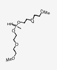 COCCOCCOP(C)(=N)OCCOCCOC